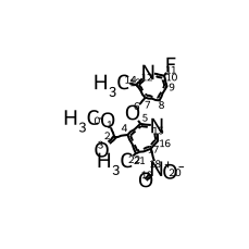 COC(=O)c1c(Oc2ccc(F)nc2C)ncc([N+](=O)[O-])c1C